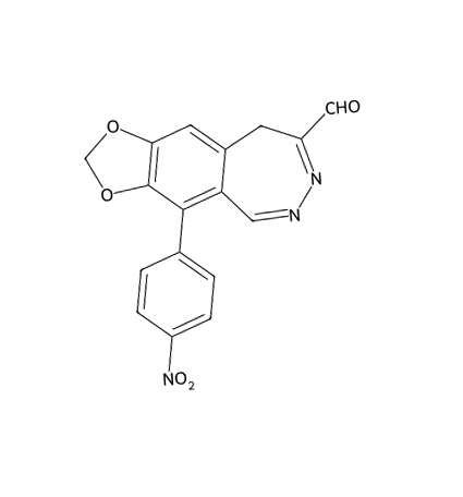 O=CC1=NN=Cc2c(cc3c(c2-c2ccc([N+](=O)[O-])cc2)OCO3)C1